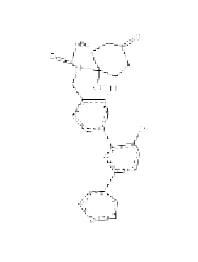 CCCCC(=O)N(Cc1ccc(-c2cc(-c3ccccc3)ccc2C#N)cc1)C1(C(=O)O)CCC(=O)CC1